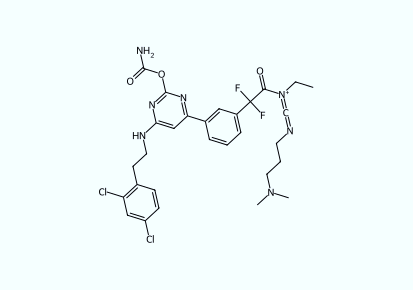 CC[N+](=C=NCCCN(C)C)C(=O)C(F)(F)c1cccc(-c2cc(NCCc3ccc(Cl)cc3Cl)nc(OC(N)=O)n2)c1